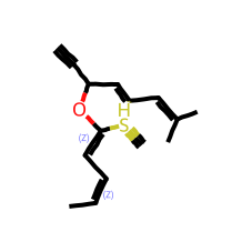 C#CC1C=C(C=C(C)C)[SH](#C)/C(=C\C=C/C)O1